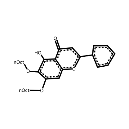 CCCCCCCCOc1cc2oc(-c3ccccc3)cc(=O)c2c(O)c1OCCCCCCCC